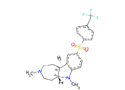 CN1CC[C@@H]2[C@@H](CC1)c1cc(S(=O)(=O)c3ccc(C(F)(F)F)cc3)ccc1N2C